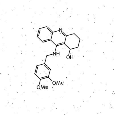 COc1ccc(CNc2c3c(nc4ccccc24)CCCC3O)cc1OC